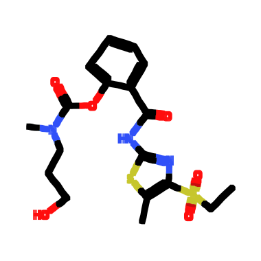 CCS(=O)(=O)c1nc(NC(=O)c2ccccc2OC(=O)N(C)CCCO)sc1C